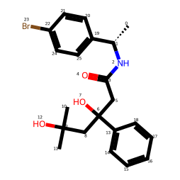 C[C@H](NC(=O)CC(O)(CC(C)(C)O)c1ccccc1)c1ccc(Br)cc1